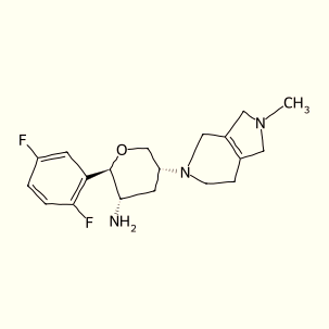 CN1CC2=C(C1)CN([C@H]1CO[C@H](c3cc(F)ccc3F)[C@@H](N)C1)CC2